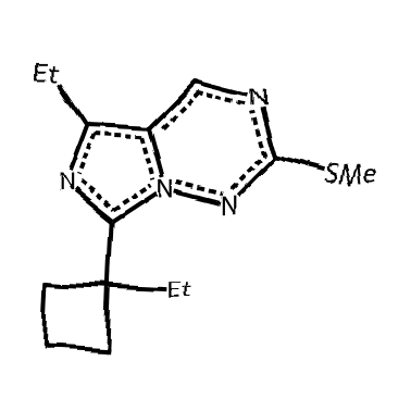 CCc1nc(C2(CC)CCC2)n2nc(SC)ncc12